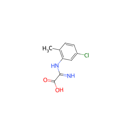 Cc1ccc(Cl)cc1NC(=N)C(=O)O